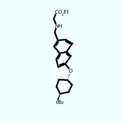 CCOC(=O)CNCc1ccc2cc(O[C@H]3CC[C@H](C(C)(C)C)CC3)ccc2c1